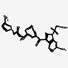 CC(C)(CO)n1cc(C(=O)c2cncc(NC(=O)Cn3ccc(C(F)(F)F)n3)c2)c2cnc(N)nc21